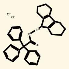 O=C([O][Ti+2][CH]1C2=C(CCCC2)C2=C1CCCC2)C(c1ccccc1)(c1ccccc1)c1ccccc1.[Cl-].[Cl-]